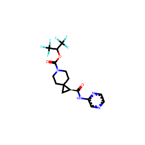 O=C(Nc1cnccn1)[C@H]1CC12CCN(C(=O)OC(C(F)(F)F)C(F)(F)F)CC2